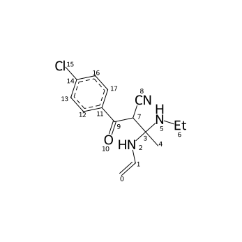 C=CNC(C)(NCC)C(C#N)C(=O)c1ccc(Cl)cc1